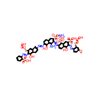 COc1ccc(N=Nc2c(S(=O)(=O)O)cc3c(S(=O)(=O)O)c(N=Nc4c(S(=O)(=O)ON)cc5ccc(N=Nc6ccc7c(O)c(N=Nc8ccccc8S(=O)(=O)O)c(SOOO)cc7c6)c(O)c5c4N)ccc3c2O)c(SOOO)c1